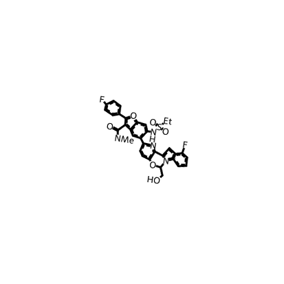 CCS(=O)(=O)Nc1cc2oc(-c3ccc(F)cc3)c(C(=O)NC)c2cc1-c1ccc2c(n1)-c1cc3c(F)cccc3n1C(CO)O2